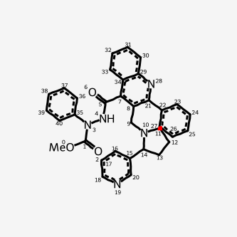 COC(=O)N(NC(=O)c1c(CN2CCCC2c2cccnc2)c(-c2ccccc2)nc2ccccc12)c1ccccc1